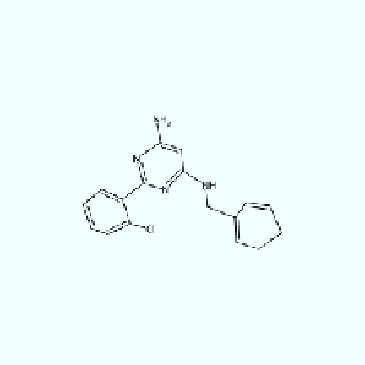 Nc1cc(NCC2=CCCC=C2)nc(-c2ccccc2Cl)n1